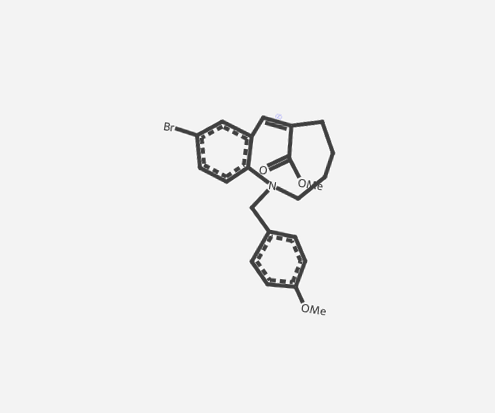 COC(=O)/C1=C\c2cc(Br)ccc2N(Cc2ccc(OC)cc2)CCCC1